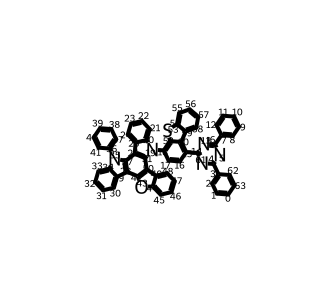 c1ccc(-c2nc(-c3ccccc3)nc(-c3ccc(-n4c5ccccc5c5c6c(c7ccccc7n6-c6ccccc6)c6oc7ccccc7c6c54)c4sc5ccccc5c34)n2)cc1